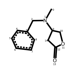 CN(Cc1ccccc1)C1COC(=O)C1